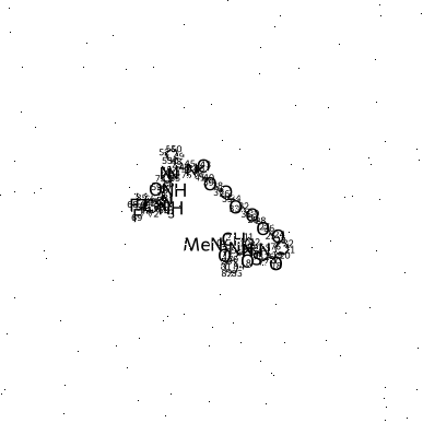 CNC(C)C(=O)NC(C(=O)N1CCC[C@@H]1c1nc(C(=O)c2cccc(OCCOCCOCCOCCOCCOCCC(=O)N3CC(C(c4ccccc4)n4cc(NC(=O)c5n[nH]c6c5C[C@@H]5C(F)(F)[C@]5(C)C6)cn4)C3)c2)cs1)C1CCCCC1